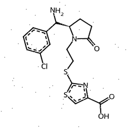 NC(c1cccc(Cl)c1)[C@H]1CCC(=O)N1CCSc1nc(C(=O)O)cs1